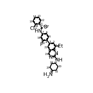 CCc1cc(-c2ccc(N[S+]([O-])c3ccccc3Cl)cc2F)cc2cnc(N[C@H]3CC[C@H](N)CC3)nc12